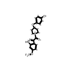 O=C(c1n[nH]c2cc(OC(F)(F)F)ccc12)N1CCC(Oc2ccc(Cl)cc2)CC1